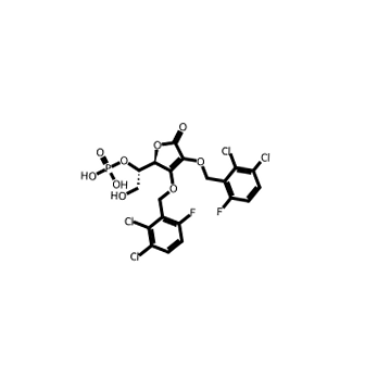 O=C1O[C@H]([C@H](CO)OP(=O)(O)O)C(OCc2c(F)ccc(Cl)c2Cl)=C1OCc1c(F)ccc(Cl)c1Cl